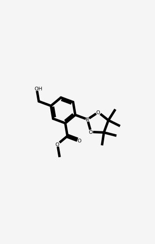 COC(=O)c1cc(CO)ccc1B1OC(C)(C)C(C)(C)O1